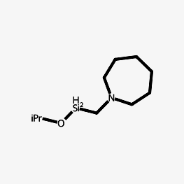 CC(C)O[SiH2]CN1CCCCCC1